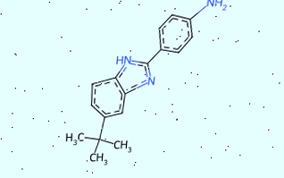 CC(C)(C)c1ccc2[nH]c(-c3ccc(N)cc3)nc2c1